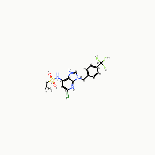 CCS(=O)(=O)Nc1cc(Cl)nc2c1ncn2Cc1ccc(C(F)(F)F)cc1